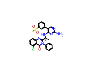 C[C@H](Nc1nc(N)ncc1-c1cccc(S(C)(=O)=O)c1)c1nc2cccc(Cl)c2c(=O)n1-c1ccccc1